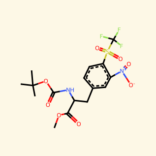 COC(=O)C(Cc1ccc(S(=O)(=O)C(F)(F)F)c([N+](=O)[O-])c1)NC(=O)OC(C)(C)C